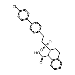 O=C(O)C1c2ccccc2CCN1S(=O)(=O)CCc1ccc(-c2ccc(Cl)cc2)cc1